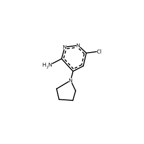 Nc1nnc(Cl)cc1N1CCCC1